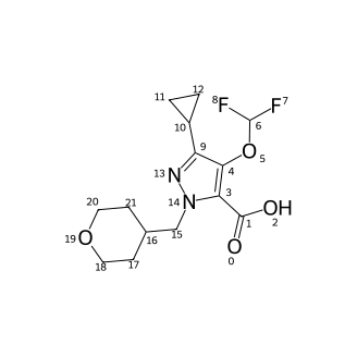 O=C(O)c1c(OC(F)F)c(C2CC2)nn1CC1CCOCC1